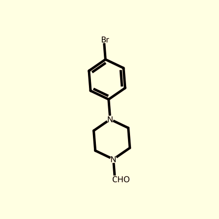 O=CN1CCN(c2ccc(Br)cc2)CC1